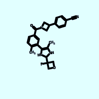 CC1=C(c2cc(C(=O)N3CC(c4ccc(C#N)cc4)C3)ccc2C)NC(C2(F)COC2)N1